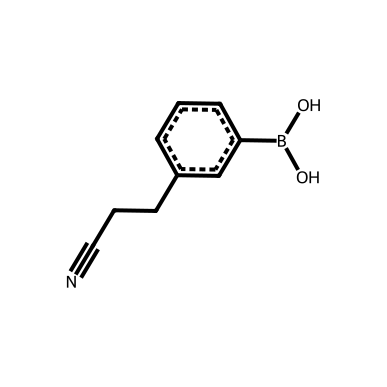 N#CCCc1cccc(B(O)O)c1